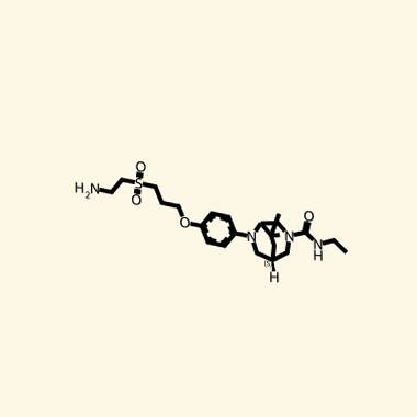 CCNC(=O)N1CC2N(c3ccc(OCCCS(=O)(=O)CCN)cc3)C[C@@H](C1)CC2(C)C